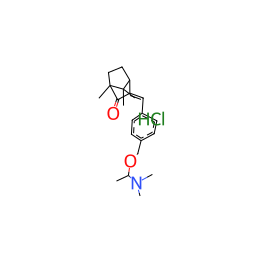 CC(OCc1ccc(/C=C2\C(=O)C3(C)CCC2C3(C)C)cc1)N(C)C.Cl